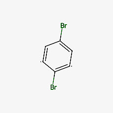 Brc1[c]cc(Br)c[c]1